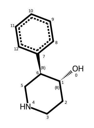 O[C@@H]1CCNC[C@H]1c1ccccc1